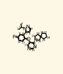 CC(C)n1nccc1-c1cc(F)ccc1Oc1cncnc1N1CCC2(CCCC2)C1